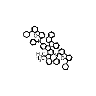 CC1(C)c2c3c(cc(N(C4=CCCC=C4)c4cccc5c4oc4c(C6CCCCC6)cccc45)c2C2C=CC=CC21)C1(c2cc(N(C4=CC=CC5C6=C(OC45)C(C4CCCCC4)=CCC6)c4ccccc4)ccc2-3)c2ccccc2-c2c1ccc1ccccc21